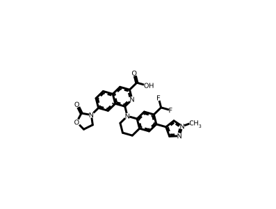 Cn1cc(-c2cc3c(cc2C(F)F)N(c2nc(C(=O)O)cc4ccc(N5CCOC5=O)cc24)CCC3)cn1